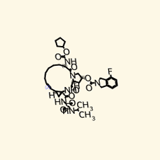 CC(C)NS(=O)(=O)NC(=O)[C@@]12C[C@H]1/C=C\CCCCC[C@H](NC(=O)OC1CCCC1)C(=O)N1C[C@H](OC(=O)N3Cc4cccc(F)c4C3)C[C@H]1C(=O)N2